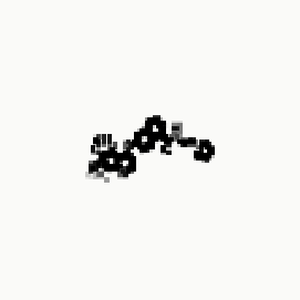 COc1cc2nccc(Oc3ccc4c(C(=O)NCCN5CCCC5)cccc4c3)c2cc1OC